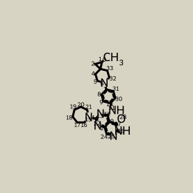 CC1CC12CCN(c1ccc(Nc3nc(N4CCCCCC4)nc4cn[nH]c(=O)c34)cc1)CC2